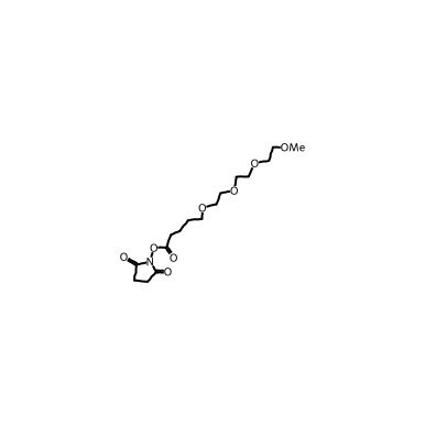 COCCOCCOCCOCCCCC(=O)ON1C(=O)CCC1=O